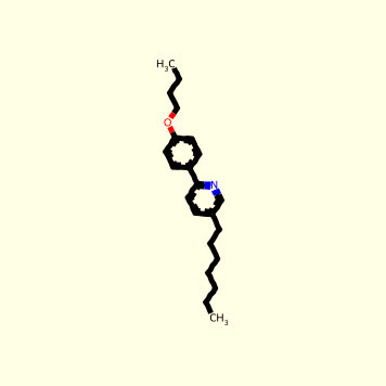 CCCCCCCc1ccc(-c2ccc(OCCCC)cc2)nc1